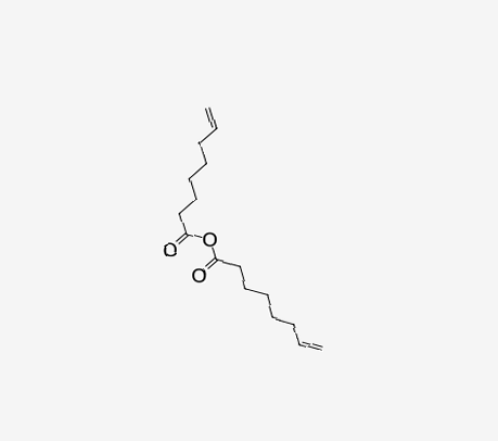 C=CCCCCCC(=O)OC(=O)CCCCCC=C